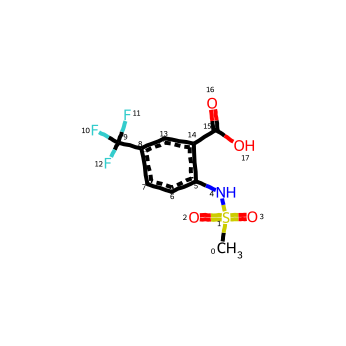 CS(=O)(=O)Nc1ccc(C(F)(F)F)cc1C(=O)O